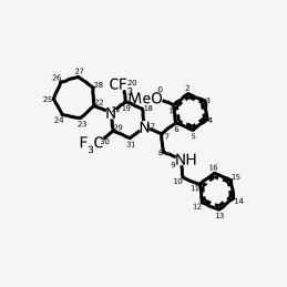 COc1ccccc1C(CNCc1ccccc1)N1CC(C(F)(F)F)N(C2CCCCCC2)C(C(F)(F)F)C1